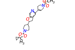 CC1(OC(=O)N2CCC(C3Cc4cc(C5=CCN(S(C)(=O)=O)CC5)ncc4O3)CC2)CC1